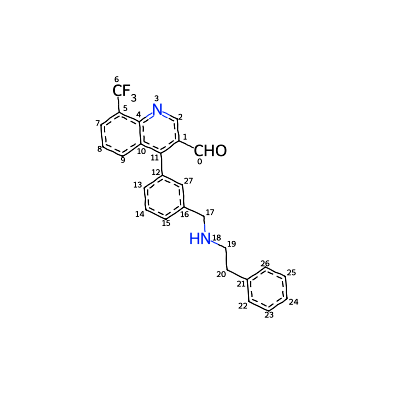 O=Cc1cnc2c(C(F)(F)F)cccc2c1-c1cccc(CNCCc2ccccc2)c1